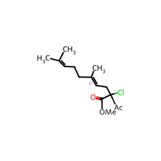 COC(=O)C(Cl)(C/C=C(\C)CCC=C(C)C)C(C)=O